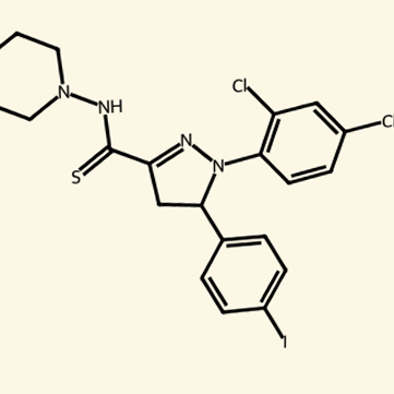 S=C(NN1CCCCC1)C1=NN(c2ccc(Cl)cc2Cl)C(c2ccc(I)cc2)C1